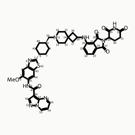 COc1cc2nc([C@H]3CC[C@H](CN4CCC5(CC4)CC(Nc4cccc6c4C(=O)N(C4CCC(=O)NC4=O)C6=O)C5)CC3)sc2cc1NC(=O)c1cnn2cccnc12